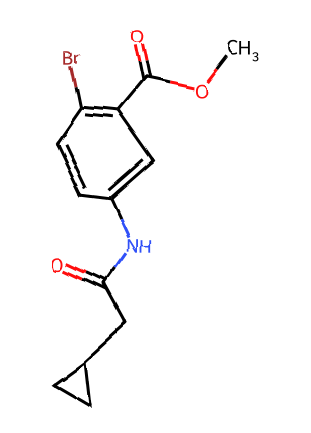 COC(=O)c1cc(NC(=O)CC2CC2)ccc1Br